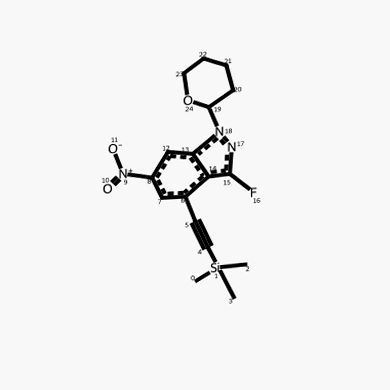 C[Si](C)(C)C#Cc1cc([N+](=O)[O-])cc2c1c(F)nn2C1CCCCO1